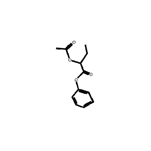 CCC(OC(C)=O)C(=O)Oc1ccccc1